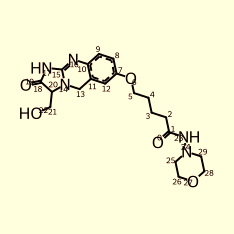 O=C(CCCCOc1ccc2c(c1)CN1C(=N2)NC(=O)C1CO)NN1CCOCC1